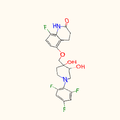 O=C1CCc2c(OCC3(O)CCN(c4c(F)cc(F)cc4F)CC3O)ccc(F)c2N1